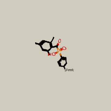 CCCC(C)c1ccc(P(=O)(O)C(=O)c2c(C)cc(C)cc2C)cc1